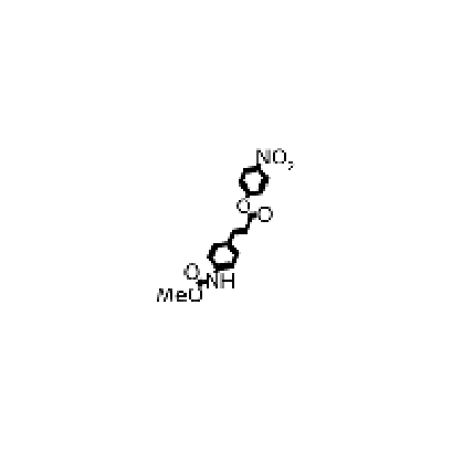 COC(=O)Nc1ccc(C=CC(=O)Oc2ccc([N+](=O)[O-])cc2)cc1